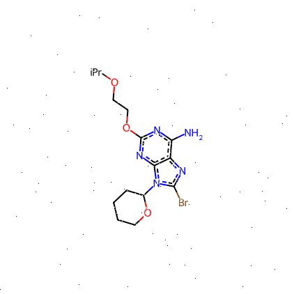 CC(C)OCCOc1nc(N)c2nc(Br)n(C3CCCCO3)c2n1